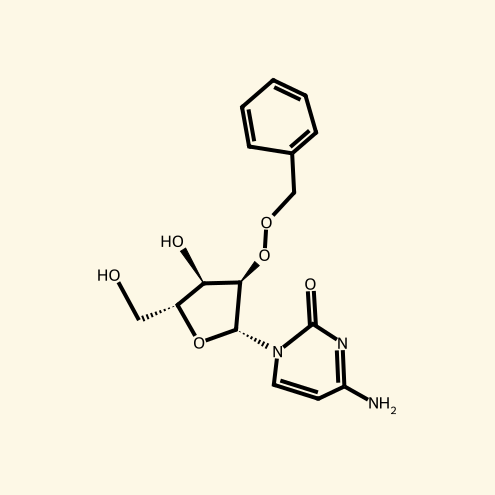 Nc1ccn([C@@H]2O[C@H](CO)[C@@H](O)[C@H]2OOCc2ccccc2)c(=O)n1